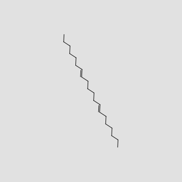 CCCCCC/C=C/CCCC/C=C/CCCCCC